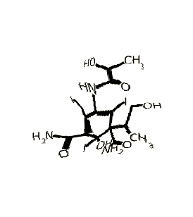 CC(O)C(=O)NC1=C(I)C(C(N)=O)(C(C)CO)C(O)(I)C(C(N)=O)=C1I